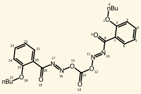 CCCCOc1ccccc1C(=O)N=NOC(=O)ON=NC(=O)c1ccccc1OCCCC